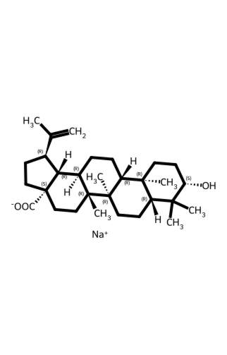 C=C(C)[C@@H]1CC[C@]2(C(=O)[O-])CC[C@]3(C)[C@H](CC[C@@H]4[C@@]5(C)CC[C@H](O)C(C)(C)[C@@H]5CC[C@]43C)[C@@H]12.[Na+]